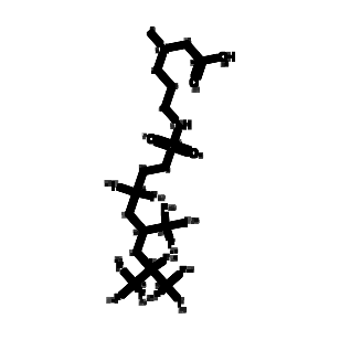 CN(CCCNS(=O)(=O)CCC(F)(F)CC(CC(F)(C(F)(F)F)C(F)(F)F)C(F)(F)F)CC(=O)O